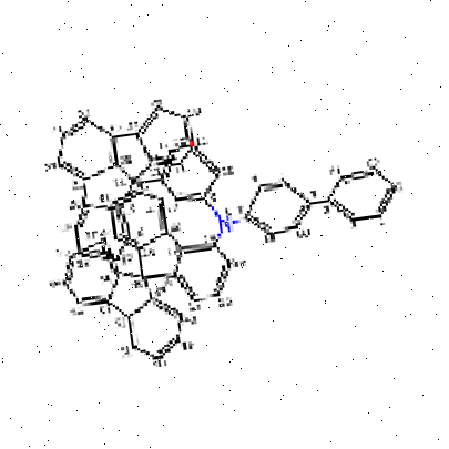 c1ccc(-c2ccc(N(c3cccc(C45c6ccccc6-c6cccc(c64)-c4ccccc45)c3)c3cccc4c3-c3ccccc3C43c4ccccc4-c4ccccc43)cc2)cc1